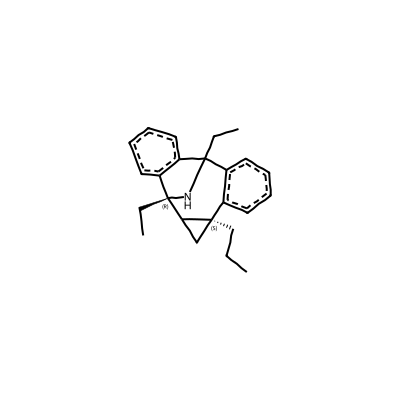 CCC[C@]12CC1[C@@]1(CC)NC(CC)(c3ccccc32)c2ccccc21